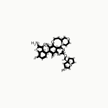 N#Cc1c(N)sc2c(F)ccc(-c3c(Cl)c4c5c(nc(OC[C@@]67CCCN6C[C@H](F)C7)nc5c3F)N3CCOCC3CCO4)c12